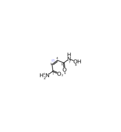 NC(=O)/C=C\C(=O)NO